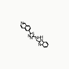 C1=CC2N=C(CNc3nnc(-c4ccc5cnccc5c4)s3)NC2C=C1